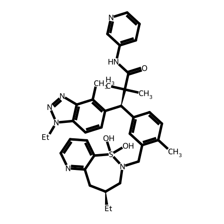 CC[C@H]1Cc2ncccc2S(O)(O)N(Cc2cc([C@@H](c3ccc4c(nnn4CC)c3C)C(C)(C)C(=O)Nc3cccnc3)ccc2C)C1